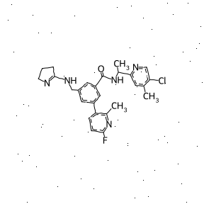 Cc1cc(C(C)NC(=O)c2cc(CNC3=NCCC3)cc(-c3ccc(F)nc3C)c2)ncc1Cl